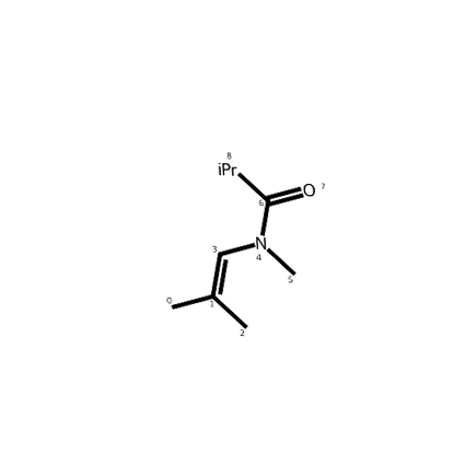 CC(C)=CN(C)C(=O)C(C)C